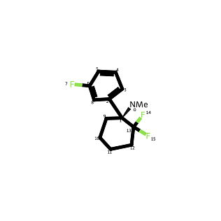 CN[C@]1(c2cccc(F)c2)CCCCC1(F)F